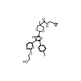 CC1(C(=O)NCC2CC2)COC(c2nc(-c3ccc(F)cc3)c(-c3ccnc(OCCO)n3)[nH]2)OC1